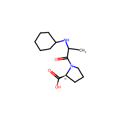 CC(NC1CCCCC1)C(=O)N1CCC[C@H]1C(=O)O